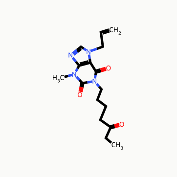 C=CCn1cnc2c1c(=O)n(CCCCC(=O)CC)c(=O)n2C